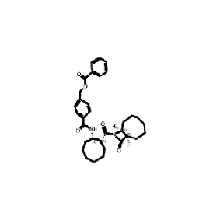 O=C(N[C@H]1CCCCCC[C@H]1C(=O)N1C(=O)[C@@H]2CCCCCC[C@@H]21)c1ccc(COC(=O)c2ccccc2)cc1